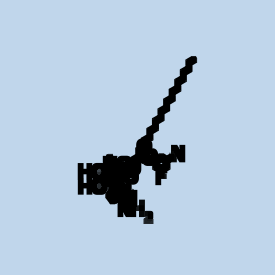 CC=C[C@]1(COP(=O)(O)OCC(COCCCCCCCCCCCCCCCCCC)COc2cc(F)cc(C#N)c2)O[C@@H](c2ccc3c(N)ncnn23)[C@H](O)[C@@H]1O